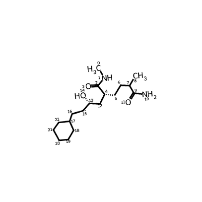 CNC(=O)[C@H](CCC(C)C(N)=O)C[C@@H](O)[CH]CC1CCCCC1